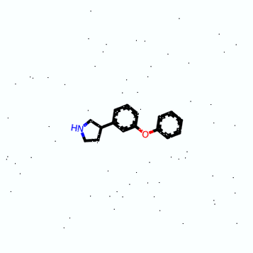 c1ccc(Oc2cccc(C3CCNC3)c2)cc1